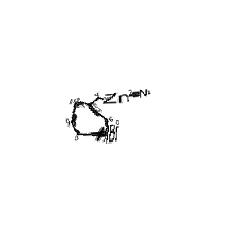 Br.N#[C][Zn][CH2]c1ccccc1